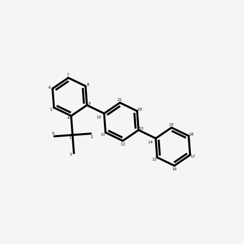 CC(C)(C)c1ccccc1-c1ccc(-c2ccccc2)cc1